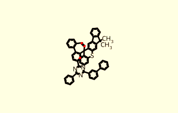 CC1(C)c2ccccc2-c2cc3c(cc21)Sc1ccccc1C31c2ccccc2-c2ccccc2-c2ccc(-c3nc(-c4ccccc4)nc(-c4cccc(-c5ccccc5)c4)n3)cc21